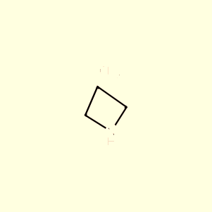 C.C1CNC1